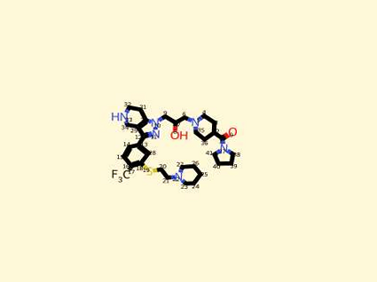 O=C(C1CCN(CC(O)Cn2nc(-c3ccc(C(F)(F)F)c(SCCN4CCCCC4)c3)c3c2CCNC3)CC1)N1CCCC1